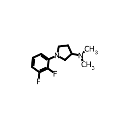 CN(C)C1CCN(c2cccc(F)c2F)C1